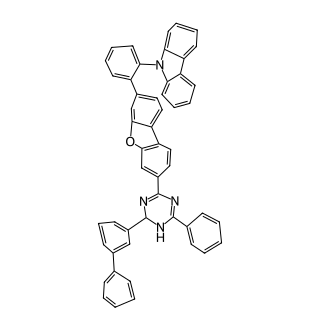 c1ccc(C2=NC(c3ccc4c(c3)oc3cc(-c5ccccc5-n5c6ccccc6c6ccccc65)ccc34)=NC(c3cccc(-c4ccccc4)c3)N2)cc1